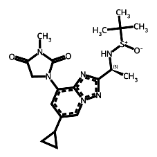 C[C@H](N[S+]([O-])C(C)(C)C)c1nc2c(N3CC(=O)N(C)C3=O)cc(C3CC3)cn2n1